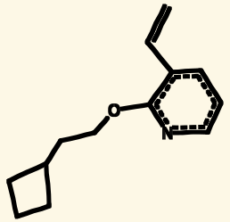 C=Cc1cccnc1OCCC1CCC1